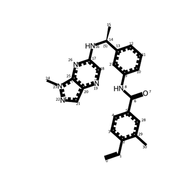 C=Cc1ccc(C(=O)Nc2cccc([C@H](C)Nc3cnc4cnn(C)c4n3)c2)cc1C